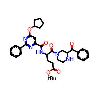 CC(C)(C)OC(=O)CCC(NC(=O)c1cc(OC2CCCC2)nc(-c2ccccc2)n1)C(=O)N1CCNC(C(=O)c2ccccc2)C1